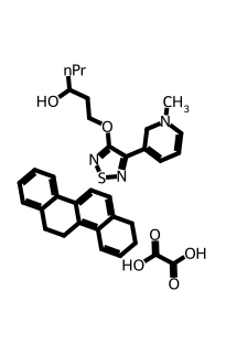 C1=Cc2c(ccc3c2CCc2ccccc2-3)CC1.CCCC(O)CCOc1nsnc1C1=CC=CN(C)C1.O=C(O)C(=O)O